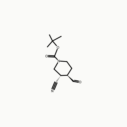 CC(C)(C)OC(=O)N1CC[C@@H](C=O)[C@H](C#N)C1